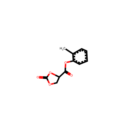 Cc1ccccc1OC(=O)C1COC(=O)O1